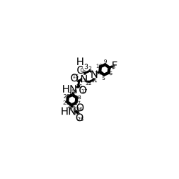 C[C@H]1CN(c2ccc(F)cc2)CCN1C(=O)C(=O)Nc1ccc2[nH]c(=O)oc2c1